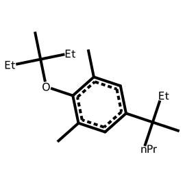 CCCC(C)(CC)c1cc(C)c(OC(C)(CC)CC)c(C)c1